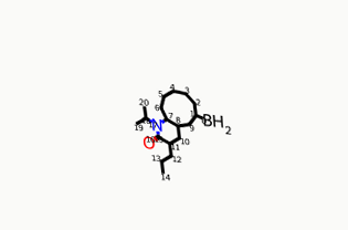 BC1CCCCCC2C(C1)CC(CCC)C(=O)N2C(C)C